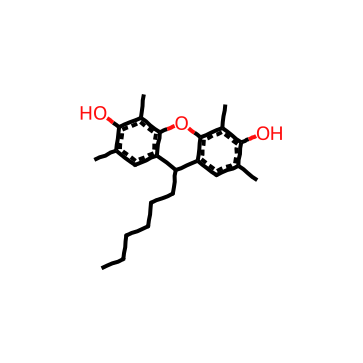 CCCCCCC1c2cc(C)c(O)c(C)c2Oc2c1cc(C)c(O)c2C